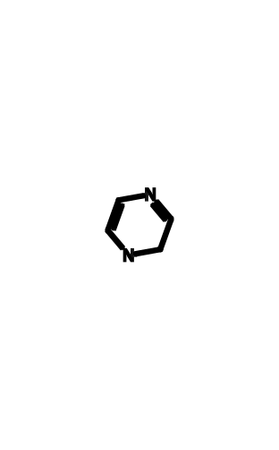 C1=CN=CC[N]1